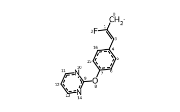 [CH2]/C(F)=C/c1ccc(Oc2ncccn2)cc1